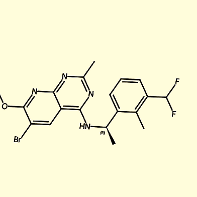 COc1nc2nc(C)nc(N[C@H](C)c3cccc(C(F)F)c3C)c2cc1Br